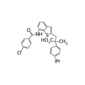 CC(C)c1ccc(C(C)(Cc2cc3cccc(NC(=O)c4ccc(Cl)cc4)c3s2)C(=O)O)cc1